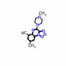 Cc1cc(C#N)c2nc(N3CCN(C)CC3)c3nnnn3c2c1